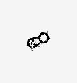 c1ccc2c(c1)-c1ccnc-2n1